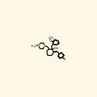 COc1ccccc1CC1(O)C(=Cc2ccc(F)cc2)CCCCC1CN1CCN(C)CC1